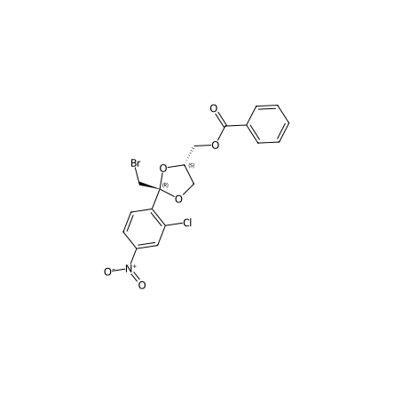 O=C(OC[C@@H]1CO[C@](CBr)(c2ccc([N+](=O)[O-])cc2Cl)O1)c1ccccc1